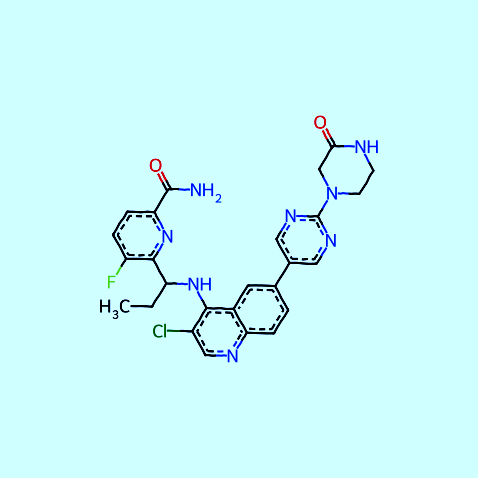 CCC(Nc1c(Cl)cnc2ccc(-c3cnc(N4CCNC(=O)C4)nc3)cc12)c1nc(C(N)=O)ccc1F